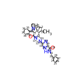 Cc1ccc2c(c1)c(C(=O)N1CCN(c3cnc(C(=O)NCCc4ccccc4)cn3)CC1)c(-c1ccccc1)n2C